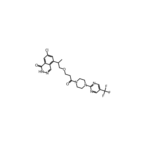 CC(COCCC(=O)N1CCN(c2ncc(C(F)(F)F)cn2)CC1)c1cc(Cl)cc2c(=O)[nH]ncc12